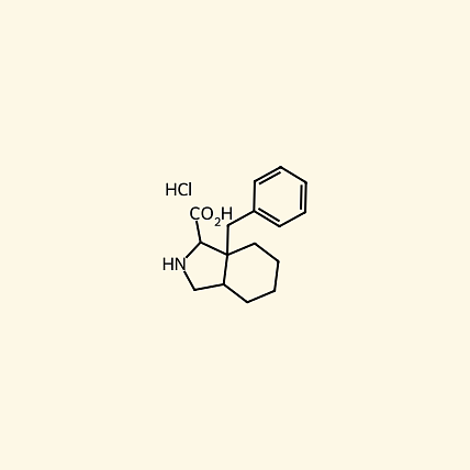 Cl.O=C(O)C1NCC2CCCCC21Cc1ccccc1